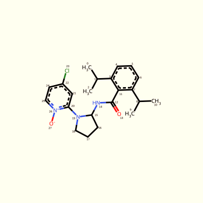 CC(C)c1cccc(C(C)C)c1C(=O)NC1CCCN1c1cc(Cl)cc[n+]1[O-]